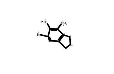 COc1c(Br)cc2c(c1[N+](=O)[O-])CCC2